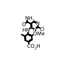 COc1cc(C(=O)O)cc(C)c1Nc1nc(Cl)ncc1C(N)=O